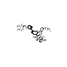 CC(C)COc1cccc(-c2ccc(C(=O)NS(=O)(=O)c3ccc[nH]c3=O)c(N3CCC(C)CC3)n2)c1